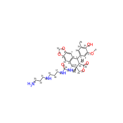 COc1cc(C2c3cc4c(cc3[C@@H](NC(=O)NCCCNCCCN)[C@H]3COC(=O)[C@H]23)OCO4)cc(C)c1O